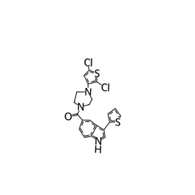 O=C(c1ccc2[nH]cc(-c3cccs3)c2c1)N1CCN(c2cc(Cl)sc2Cl)CC1